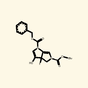 CC(C)(C)OC(=O)N1C=C2N(C(=O)OCc3ccccc3)C=C(O)C2(F)C1